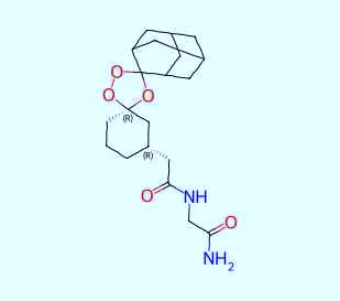 NC(=O)CNC(=O)C[C@@H]1CCC[C@]2(C1)OOC1(O2)C2CC3CC(C2)CC1C3